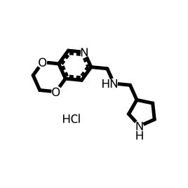 Cl.c1nc(CNCC2CCNC2)cc2c1OCCO2